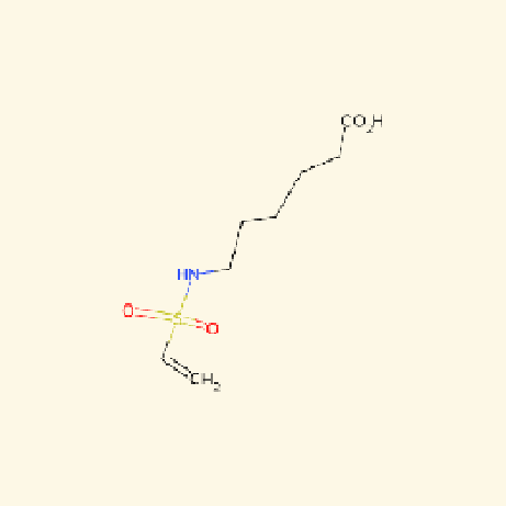 C=CS(=O)(=O)NCCCCCC(=O)O